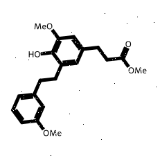 COC(=O)CCc1cc(CCc2cccc(OC)c2)c(O)c(OC)c1